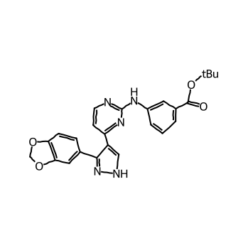 CC(C)(C)OC(=O)c1cccc(Nc2nccc(-c3c[nH]nc3-c3ccc4c(c3)OCO4)n2)c1